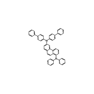 c1ccc(-c2ccc(N(c3ccc(-c4ccccc4)cc3)c3ccc4ccc5c(N(c6ccccc6)c6ccccc6)cccc5c4c3)cc2)cc1